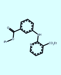 CCOC(=O)c1cccnc1Nc1cccc(C(=O)OC(C)C)c1